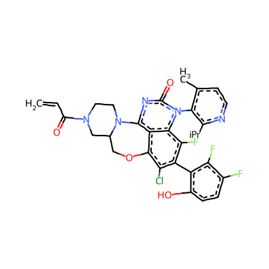 C=CC(=O)N1CCN2c3nc(=O)n(-c4c(C)ccnc4C(C)C)c4c(F)c(-c5c(O)ccc(F)c5F)c(Cl)c(c34)OCC2C1